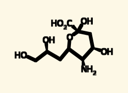 N[C@H]1C(C[C@H](O)CO)O[C@@](O)(C(=O)O)C[C@H]1O